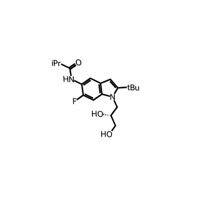 CC(C)C(=O)Nc1cc2cc(C(C)(C)C)n(C[C@@H](O)CO)c2cc1F